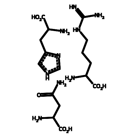 N=C(N)NCCCC(N)C(=O)O.NC(=O)CC(N)C(=O)O.NC(Cc1c[nH]cn1)C(=O)O